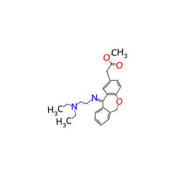 CCN(CC)CC/N=C1\c2ccccc2COc2ccc(CC(=O)OC)cc21